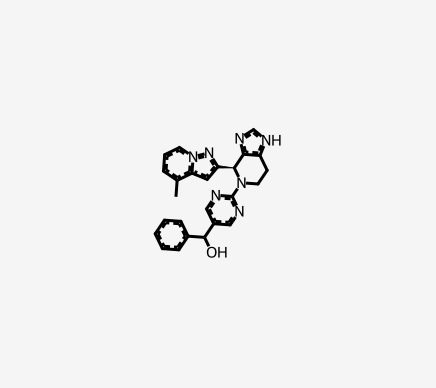 Cc1cccn2nc([C@H]3c4nc[nH]c4CCN3c3ncc(C(O)c4ccccc4)cn3)cc12